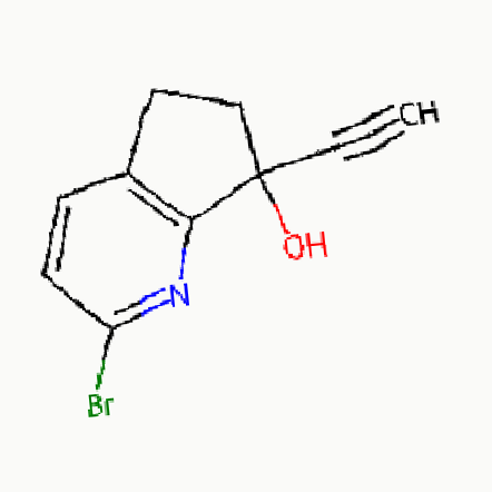 C#CC1(O)CCc2ccc(Br)nc21